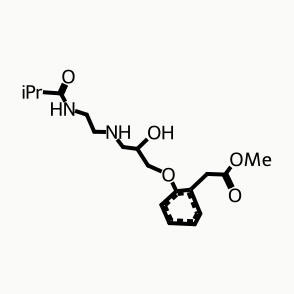 COC(=O)Cc1ccccc1OCC(O)CNCCNC(=O)C(C)C